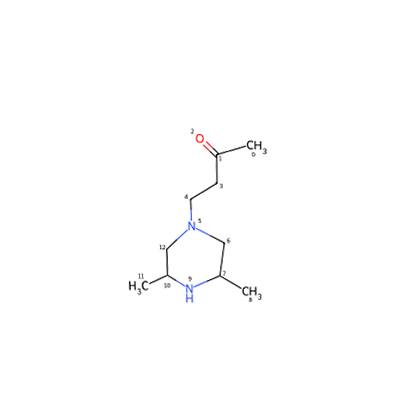 CC(=O)CCN1CC(C)NC(C)C1